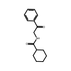 O=C(CNC(=O)C1CCCCC1)c1ccccc1